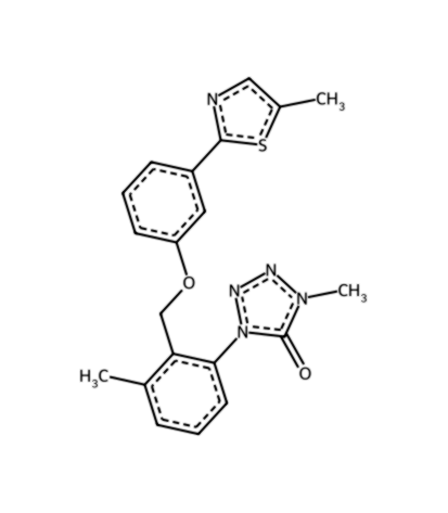 Cc1cnc(-c2cccc(OCc3c(C)cccc3-n3nnn(C)c3=O)c2)s1